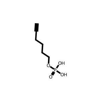 C#CCCCCOP(=O)(O)O